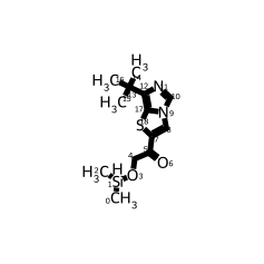 C[SiH](C)OCC(=O)c1cn2cnc(C(C)(C)C)c2s1